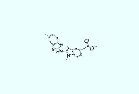 COC(=O)c1ccc2c(c1)nc(Nc1nc3ccc(C)cc3s1)n2C